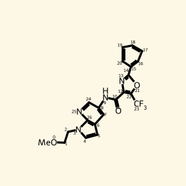 COCCn1ccc2cc(NC(=O)c3nc(-c4ccccc4)oc3C(F)(F)F)cnc21